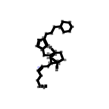 O=C(O)CC/C=C\C[C@H]1[C@@H](Cn2cnc(CCCC3CCCCC3)c2)[C@@H]2CC[C@H]1O2